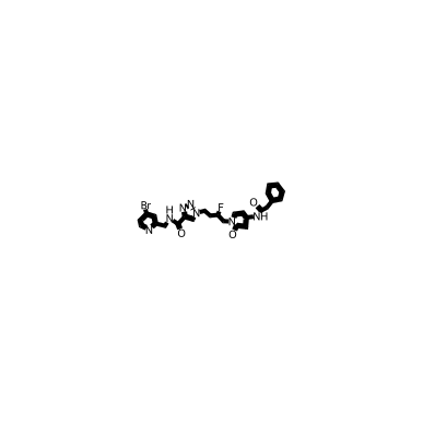 O=C(Cc1ccccc1)Nc1ccn(CC(F)CCn2cc(C(=O)NCc3cc(Br)ccn3)nn2)c(=O)c1